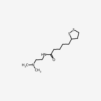 CN(C)CCNC(=O)CCCCC1CCSS1